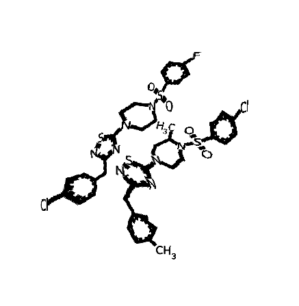 Cc1ccc(Cc2nsc(N3CCN(S(=O)(=O)c4ccc(Cl)cc4)C(C)C3)n2)cc1.O=S(=O)(c1ccc(F)cc1)N1CCN(c2nc(Cc3ccc(Cl)cc3)ns2)CC1